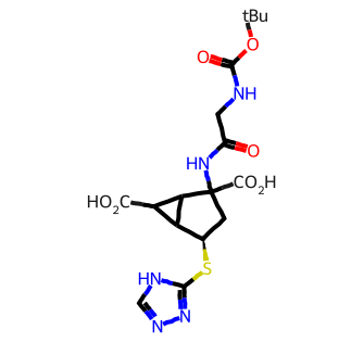 CC(C)(C)OC(=O)NCC(=O)NC1(C(=O)O)C[C@@H](Sc2nnc[nH]2)C2C(C(=O)O)C21